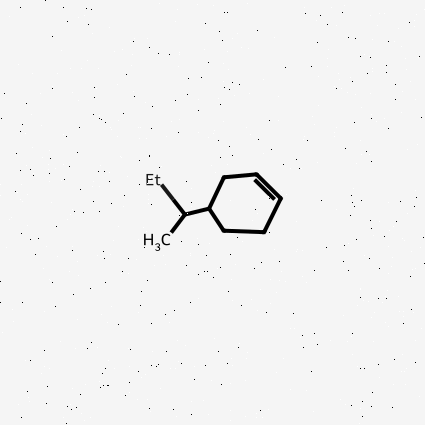 CCC(C)C1CC=CCC1